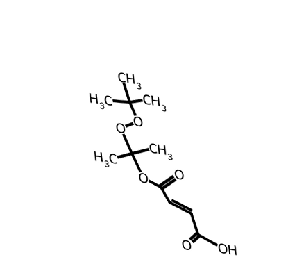 CC(C)(C)OOC(C)(C)OC(=O)C=CC(=O)O